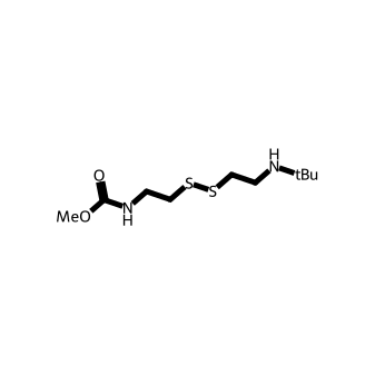 COC(=O)NCCSSCCNC(C)(C)C